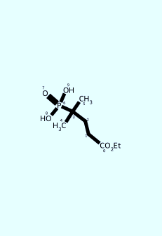 CCOC(=O)CCC(C)(C)P(=O)(O)O